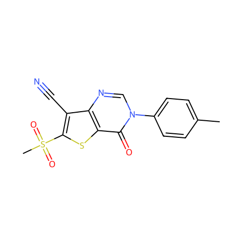 Cc1ccc(-n2cnc3c(C#N)c(S(C)(=O)=O)sc3c2=O)cc1